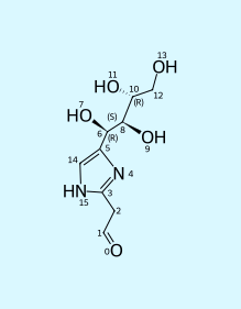 O=CCc1nc([C@@H](O)[C@H](O)[C@H](O)CO)c[nH]1